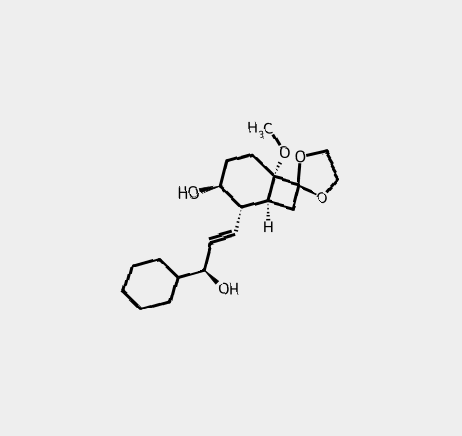 CO[C@@]12CC[C@H](O)[C@@H](/C=C/[C@@H](O)C3CCCCC3)[C@@H]1CC21OCCO1